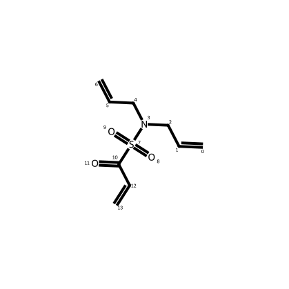 C=CCN(CC=C)S(=O)(=O)C(=O)C=C